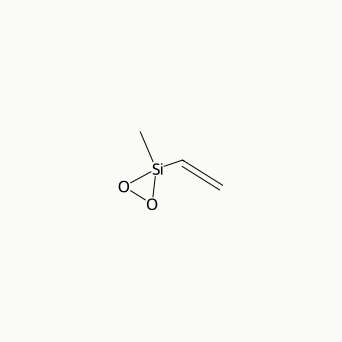 C=C[Si]1(C)OO1